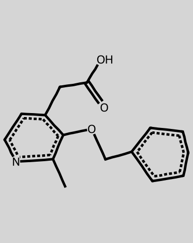 Cc1nccc(CC(=O)O)c1OCc1ccccc1